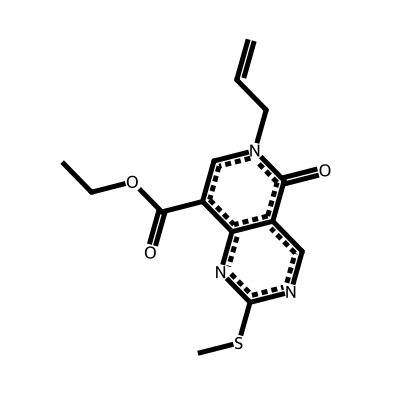 C=CCn1cc(C(=O)OCC)c2nc(SC)ncc2c1=O